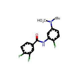 CC(C)(C)N(C(=O)O)c1ccc(F)c(NC(=O)c2ccc(F)c(F)c2)c1